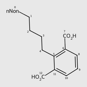 CCCCCCCCCCCCCc1c(C(=O)O)cccc1C(=O)O